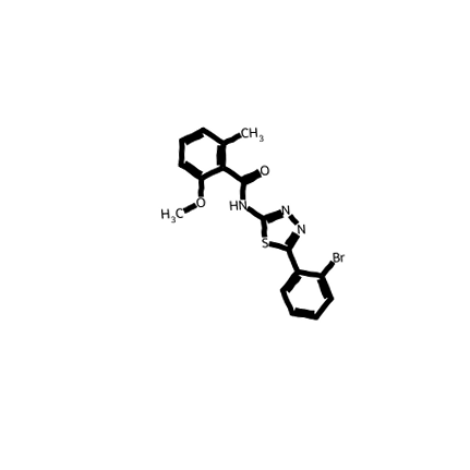 COc1cccc(C)c1C(=O)Nc1nnc(-c2ccccc2Br)s1